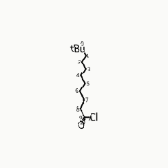 CC(C)(C)CCCCCCCCC(=O)Cl